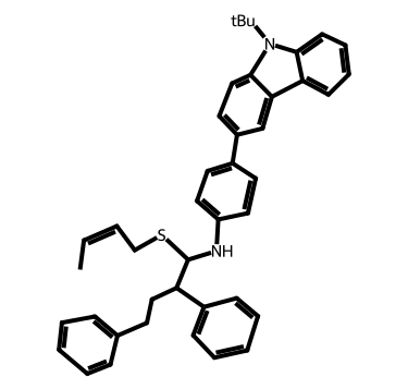 C/C=C\CSC(Nc1ccc(-c2ccc3c(c2)c2ccccc2n3C(C)(C)C)cc1)C(CCc1ccccc1)c1ccccc1